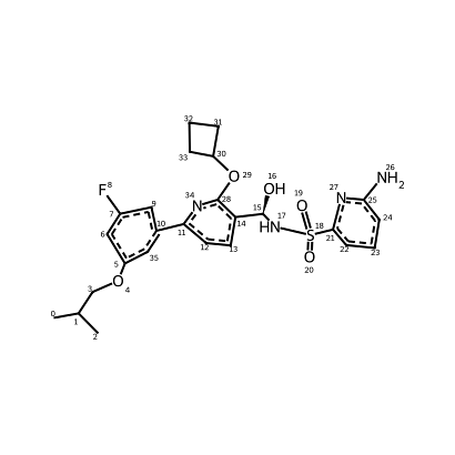 CC(C)COc1cc(F)cc(-c2ccc([C@@H](O)NS(=O)(=O)c3cccc(N)n3)c(OC3CCC3)n2)c1